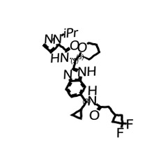 CC(C)n1nccc1C(=O)N[C@@H](c1nc2ccc([C@H](NC(=O)CC3CC(F)(F)C3)C3CC3)cc2[nH]1)[C@@H]1CCCCO1